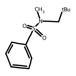 CN(CC(C)(C)C)S(=O)(=O)c1ccccc1